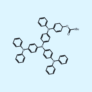 CCCCC(=O)OC1C=CC(N(c2ccccc2)c2ccc(N(c3ccc(N(c4ccccc4)c4ccccc4)cc3)c3ccc(N(c4ccccc4)c4ccccc4)cc3)cc2)=CC1